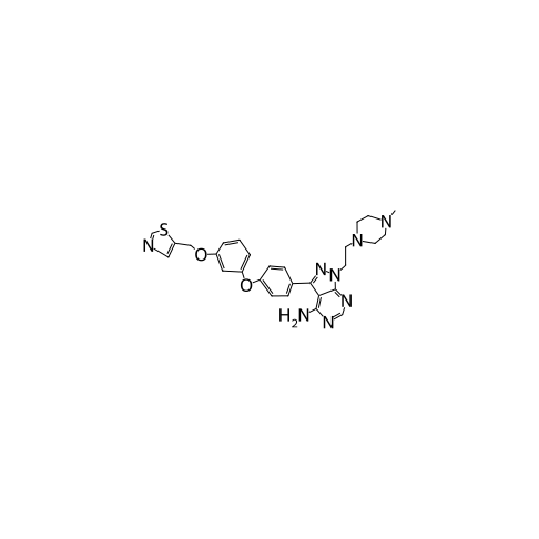 CN1CCN(CCn2nc(-c3ccc(Oc4cccc(OCc5cncs5)c4)cc3)c3c(N)ncnc32)CC1